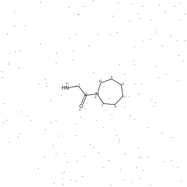 [NH]CC(=O)N1CCCCCC1